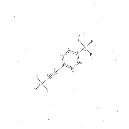 CC(C)(C)C#Cc1ccc(C(F)(F)F)cn1